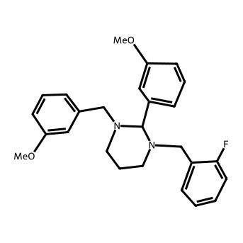 COc1cccc(CN2CCCN(Cc3ccccc3F)C2c2cccc(OC)c2)c1